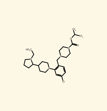 O=C(O)CN1CCCC1C1CCN(c2cc(Cl)ccc2CN2CCN(C(=O)OC(C(F)(F)F)C(F)(F)F)CC2)CC1